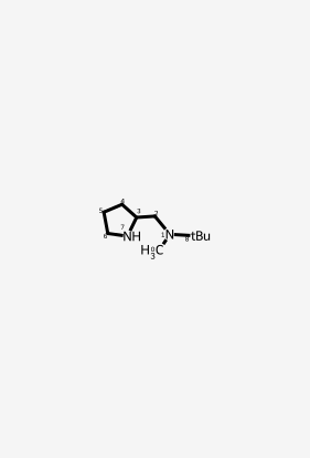 CN(CC1CCCN1)C(C)(C)C